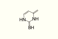 B=C1NC=CC(=C)N1